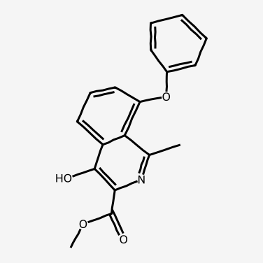 COC(=O)c1nc(C)c2c(Oc3ccccc3)cccc2c1O